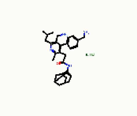 Cc1nc(CC(C)C)c(CN)c(-c2ccc(CN)cc2)c1CC(=O)NC1C2CC3CC(C2)CC1C3.Cl.Cl